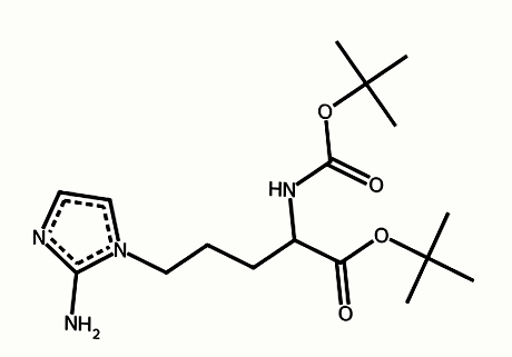 CC(C)(C)OC(=O)NC(CCCn1ccnc1N)C(=O)OC(C)(C)C